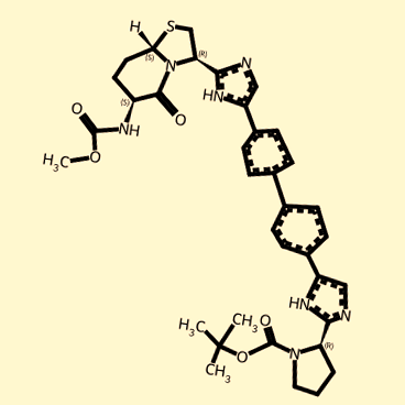 COC(=O)N[C@H]1CC[C@@H]2SC[C@@H](c3ncc(-c4ccc(-c5ccc(-c6cnc([C@H]7CCCN7C(=O)OC(C)(C)C)[nH]6)cc5)cc4)[nH]3)N2C1=O